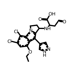 CCOc1cc(Cl)c(Cl)c2c1c(-c1cn[nH]c1)c1n2CCC1NC(CC=O)C(=O)O